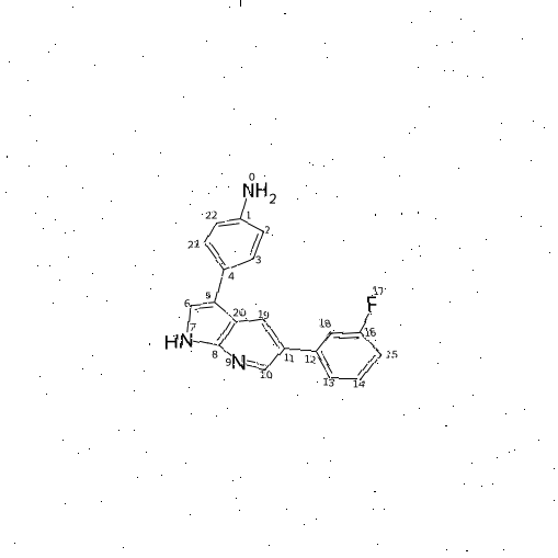 Nc1ccc(-c2c[nH]c3ncc(-c4cccc(F)c4)cc23)cc1